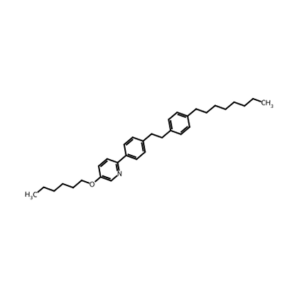 CCCCCCCCc1ccc(CCc2ccc(-c3ccc(OCCCCCC)cn3)cc2)cc1